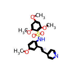 COc1ccc(NS(=O)(=O)c2c(OC)cc(OC)cc2OC)c(/C=C/c2ccncc2)c1